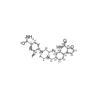 NC(=O)c1ccc(N2CCN(Cc3ccc4c([nH]c(=O)c5occc54)c3F)CC2)c(F)n1